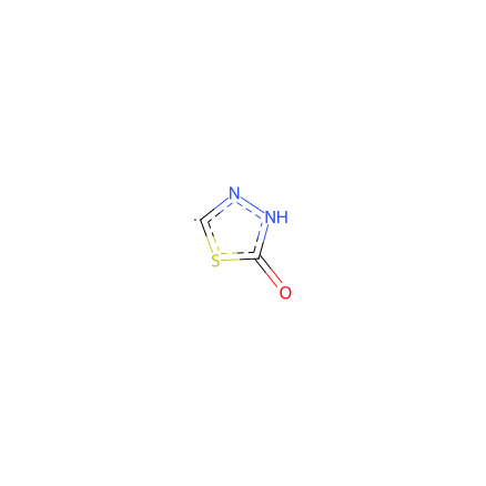 O=c1[nH]n[c]s1